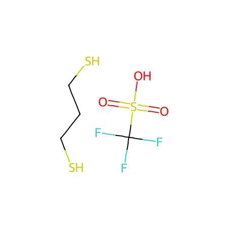 O=S(=O)(O)C(F)(F)F.SCCCS